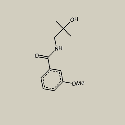 COc1cccc(C(=O)NCC(C)(C)O)c1